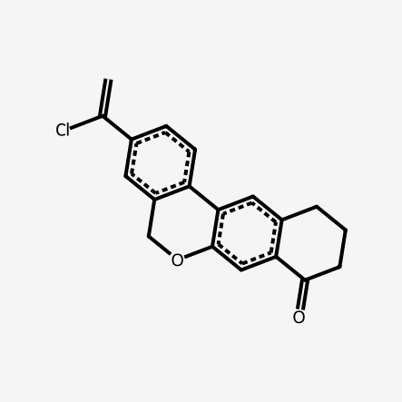 C=C(Cl)c1ccc2c(c1)COc1cc3c(cc1-2)CCCC3=O